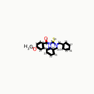 COc1ccc(C(=O)NC(=S)N(Cc2ccccc2)Cc2ccccc2)cc1